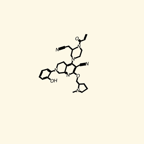 C=CC(=O)N1CCN(c2c(C#N)c(OCC3CCCN3C)nc3c2CCN(c2ccccc2O)C3)CC1CC#N